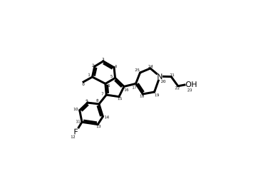 Cc1cccc2c1=C(c1ccc(F)cc1)CC=2C1=CCN(CCO)CC1